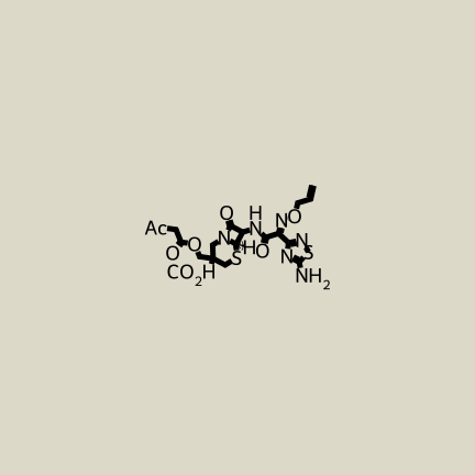 C=CCON=C(C(=O)NC1C(=O)N2CC(COC(=O)CC(C)=O)(C(=O)O)CS[C@H]12)c1nsc(N)n1